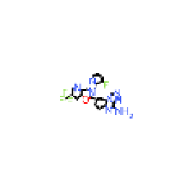 Nc1nc2ccc(C(=O)N(Cc3ccc(C(F)(F)F)cn3)Cc3ncccc3F)cc2n2cnnc12